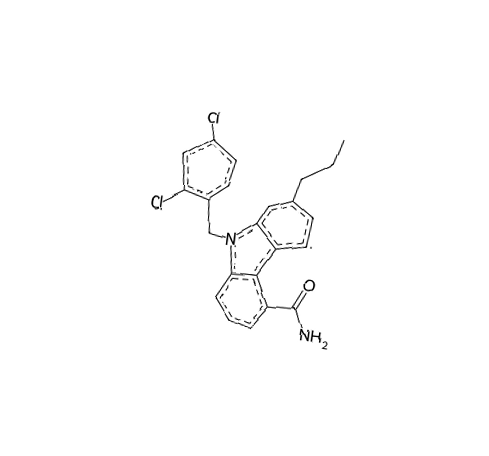 CCCc1c[c]c2c3c(C(N)=O)cccc3n(Cc3ccc(Cl)cc3Cl)c2c1